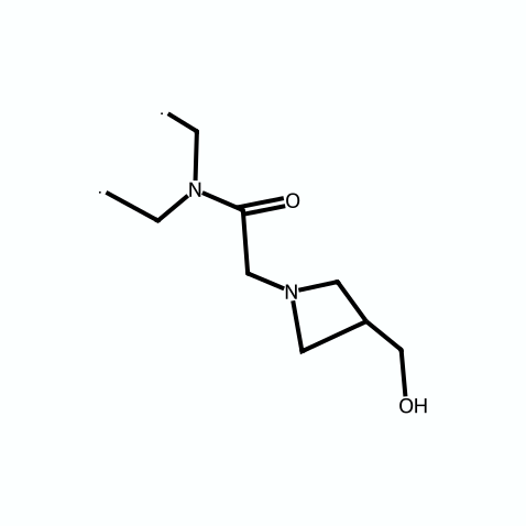 [CH2]CN(C[CH2])C(=O)CN1CC(CO)C1